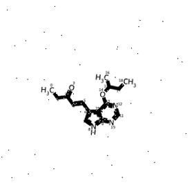 CCC(=O)/C=C/c1c[nH]c2ncnc(OC(C)CC)c12